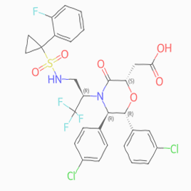 O=C(O)C[C@@H]1O[C@H](c2cccc(Cl)c2)[C@@H](c2ccc(Cl)cc2)N([C@H](CNS(=O)(=O)C2(c3ccccc3F)CC2)C(F)(F)F)C1=O